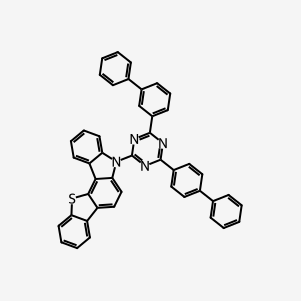 c1ccc(-c2ccc(-c3nc(-c4cccc(-c5ccccc5)c4)nc(-n4c5ccccc5c5c6sc7ccccc7c6ccc54)n3)cc2)cc1